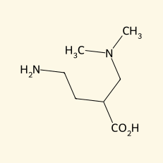 CN(C)CC(CCN)C(=O)O